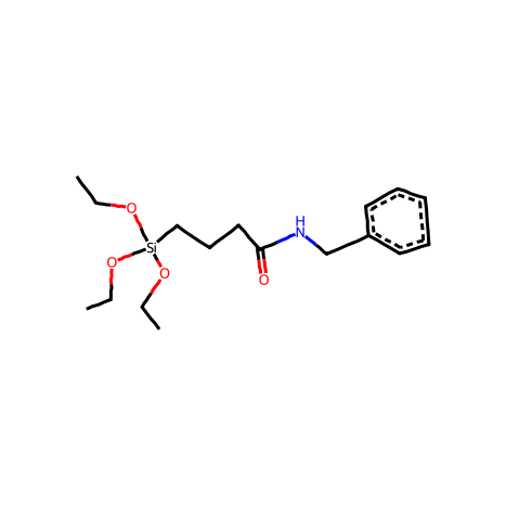 CCO[Si](CCCC(=O)NCc1ccccc1)(OCC)OCC